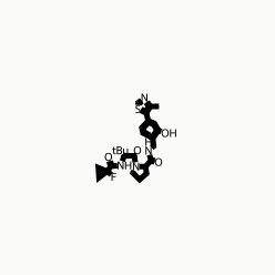 Cc1ncsc1-c1ccc(CNC(=O)C2CCCN2C(=O)C(NC(=O)C2(F)CC2)C(C)(C)C)c(O)c1